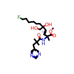 COC(=O)C(C)(/C=C/C(O)(CO)CCCCCCF)NC(=O)C(C)(C)Cc1cncnc1